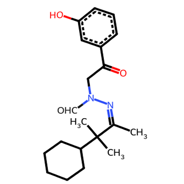 C/C(=N/N(C=O)CC(=O)c1cccc(O)c1)C(C)(C)C1CCCCC1